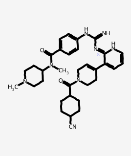 CN1CCC(N(C)C(=O)c2ccc(NC(=N)/N=c3\[nH]cccc3C3=CCN(C(=O)C4CCC(C#N)CC4)CC3)cc2)CC1